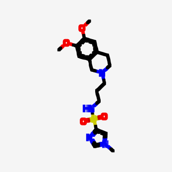 COc1cc2c(cc1OC)CN(CCCNS(=O)(=O)c1cn(C)cn1)CC2